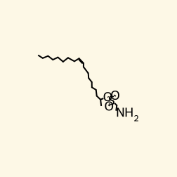 CCCCCCCC/C=C\CCCCCCCC(C)OS(=O)(=O)CCN